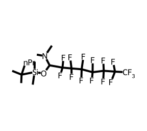 CCCC(C)(C)[Si](C)(C)OC(N(C)C)C(F)(F)C(F)(F)C(F)(F)C(F)(F)C(F)(F)C(F)(F)C(F)(F)F